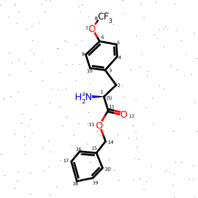 N[C@@H](Cc1ccc(OC(F)(F)F)cc1)C(=O)OCc1ccccc1